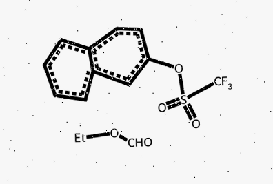 CCOC=O.O=S(=O)(Oc1ccc2ccccc2c1)C(F)(F)F